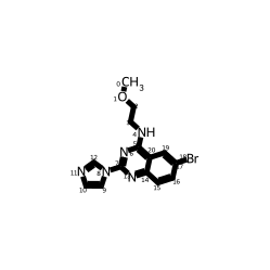 COCCNc1nc(-n2ccnc2)nc2ccc(Br)cc12